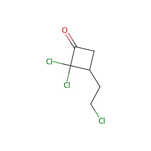 O=C1CC(CCCl)C1(Cl)Cl